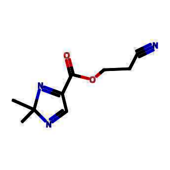 CC1(C)N=CC(C(=O)OCCC#N)=N1